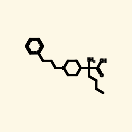 BC(CCCC)(C(=O)O)C1CCN(CCCc2ccccc2)CC1